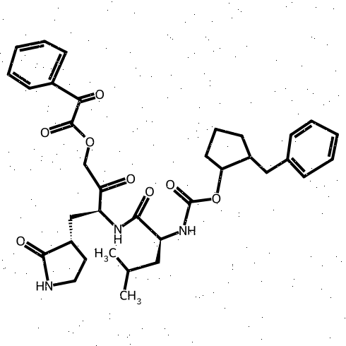 CC(C)C[C@H](NC(=O)OC1CCCC1Cc1ccccc1)C(=O)N[C@@H](C[C@@H]1CCNC1=O)C(=O)COC(=O)C(=O)c1ccccc1